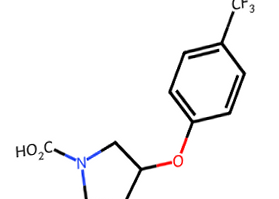 O=C(O)N1CCC(Oc2ccc(C(F)(F)F)cc2)C1